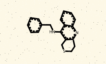 c1ccc(CNc2c3c(nc4ccccc24)CCSC3)cc1